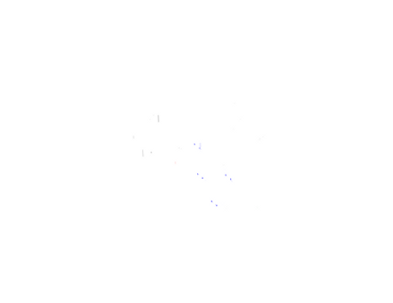 CC(C)(C)CC(=O)Nc1nc2ncc(F)cn2c1-c1cccc(C(F)(F)F)c1